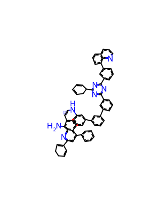 Nc1c(/C=C\Nc2cccc(-c3cccc(-c4cccc(-c5nc(-c6cccc(-c7cccc8cccnc78)c6)nc(C6C=CC=CC6)n5)c4)c3)c2)ccc2c(-c3ccccc3)cc(C3=CCCC=C3)nc12